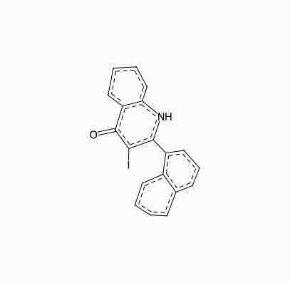 O=c1c(I)c(-c2cccc3ccccc23)[nH]c2ccccc12